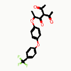 CC(=O)C(C(C)=O)C(=O)C(C)Oc1ccc(Oc2ccc(C(F)(F)F)cc2)cc1